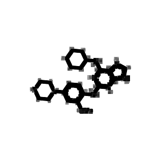 COc1cc(N2CC[N]CC2)ccc1Nc1nc(NC2CCCCC2)c2nc[nH]c2n1